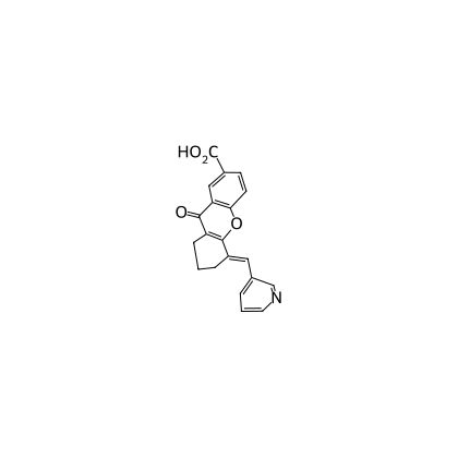 O=C(O)c1ccc2oc3c(c(=O)c2c1)CCCC3=Cc1cccnc1